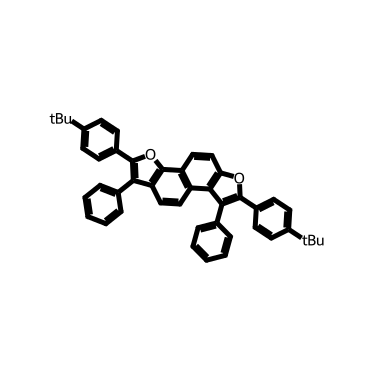 CC(C)(C)c1ccc(-c2oc3c(ccc4c3ccc3oc(-c5ccc(C(C)(C)C)cc5)c(-c5ccccc5)c34)c2-c2ccccc2)cc1